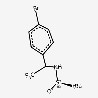 CC(C)(C)[S@@+]([O-])NC(c1ccc(Br)cc1)C(F)(F)F